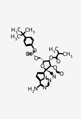 CC(C)C(=O)O[C@H]1[C@@H](OC=O)[C@](C#N)(c2ccc3c(N)ncnn23)O[C@@H]1CO[PH](=O)Oc1ccc(C(C)(C)C)cc1